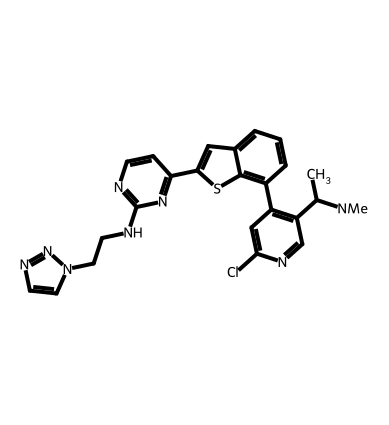 CNC(C)c1cnc(Cl)cc1-c1cccc2cc(-c3ccnc(NCCn4ccnn4)n3)sc12